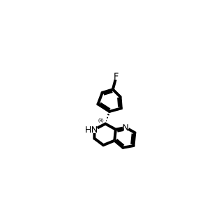 Fc1ccc([C@H]2NCCc3cccnc32)cc1